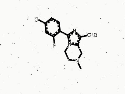 CN1CCn2c(-c3ccc(Cl)cc3F)nc(C=O)c2C1